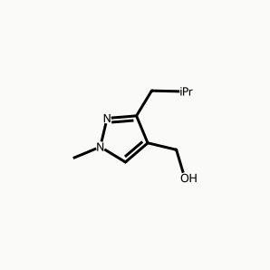 CC(C)Cc1nn(C)cc1CO